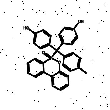 Cc1ccc(C(c2ccc(O)cc2)(c2ccc(O)cc2)P2(=O)Oc3ccccc3-c3ccccc32)cc1